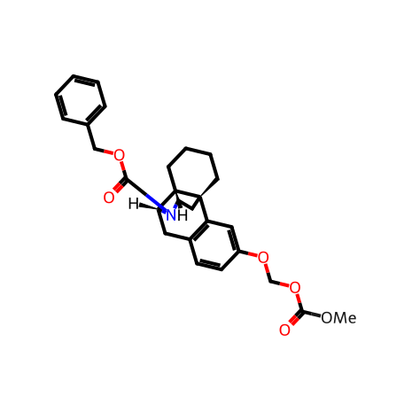 COC(=O)OCOc1ccc2c(c1)[C@@]13CCCC[C@H]1[C@@H](C2)N(C(=O)OCc1ccccc1)CC3